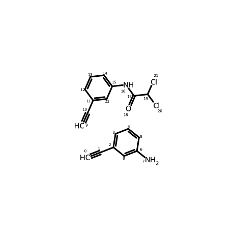 C#Cc1cccc(N)c1.C#Cc1cccc(NC(=O)C(Cl)Cl)c1